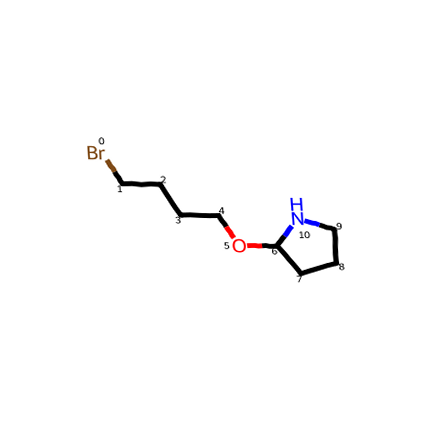 BrCCCCOC1CCCN1